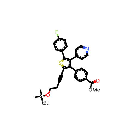 COC(=O)c1ccc(-c2c(C#CCCO[Si](C)(C)C(C)(C)C)sc(-c3ccc(F)cc3)c2-c2ccncc2)cc1